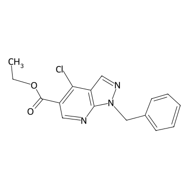 CCOC(=O)c1cnc2c(cnn2Cc2ccccc2)c1Cl